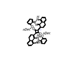 CCCCCCCCCCOc1ccccc1B1N=c2/c(=C3\C(=O)C(c4ccc5cccc6c5c4NB(c4ccccc4OCCCCCCCCCC)N6)=C3O)ccc3cccc(c23)N1